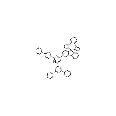 c1ccc(-c2ccc(-c3nc(-c4cc(-c5ccccc5)cc(-c5ccccc5)c4)cc(-c4ccc5c(c4)-c4ccccc4C54c5ccccc5-c5ccccc5-c5ccccc54)n3)cc2)cc1